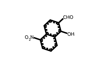 O=Cc1ccc2c([N+](=O)[O-])cccc2c1O